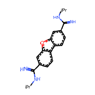 CC(C)NC(=N)c1ccc2c(c1)oc1cc(C(=N)NC(C)C)ccc12